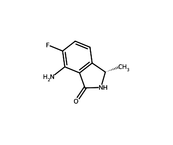 C[C@@H]1NC(=O)c2c1ccc(F)c2N